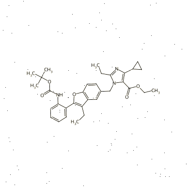 CCOC(=O)c1c(C2CC2)nc(CC)n1Cc1ccc2oc(-c3ccccc3NC(=O)OC(C)(C)C)c(CC)c2c1